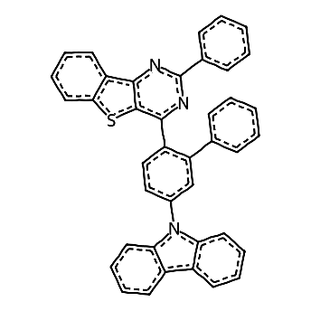 c1ccc(-c2nc(-c3ccc(-n4c5ccccc5c5ccccc54)cc3-c3ccccc3)c3sc4ccccc4c3n2)cc1